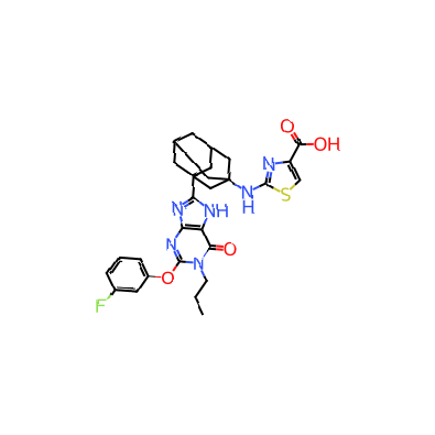 CCCn1c(Oc2cccc(F)c2)nc2nc(C34CC5CC(CC(Nc6nc(C(=O)O)cs6)(C5)C3)C4)[nH]c2c1=O